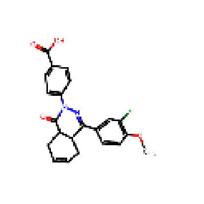 COc1ccc(C2=NN(c3ccc(C(=O)O)cc3)C(=O)C3CC=CCC23)cc1F